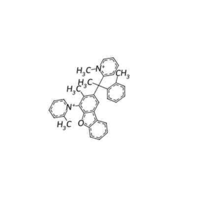 Cc1ccccc1C(C)(c1cc2c(oc3ccccc32)c(-[n+]2ccccc2C)c1C)c1cccc[n+]1C